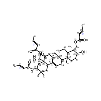 C/C=C/C(=O)OC[C@@]12C(CC(C)(C)[C@@H](OC(=O)/C=C/C)[C@@H]1O)C1=CCC3[C@@]4(C)CC[C@H](O)[C@](C)(COC(=O)/C=C/C)C4CC[C@@]3(C)[C@]1(C)C[C@H]2O